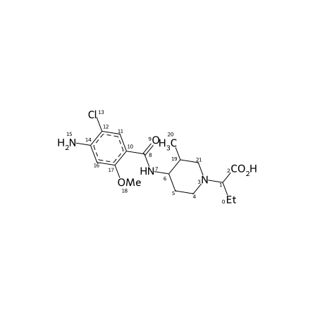 CCC(C(=O)O)N1CCC(NC(=O)c2cc(Cl)c(N)cc2OC)C(C)C1